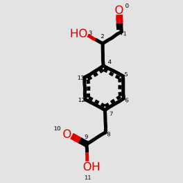 O=[C]C(O)c1ccc(CC(=O)O)cc1